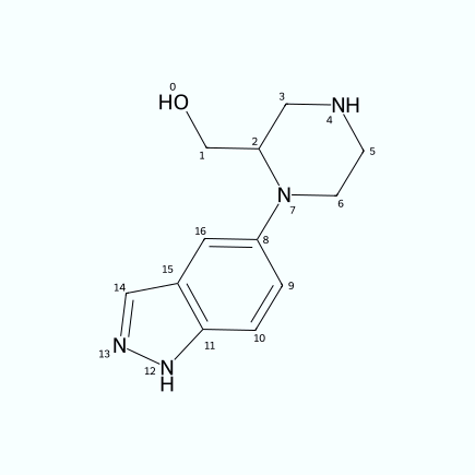 OCC1CNCCN1c1ccc2[nH]ncc2c1